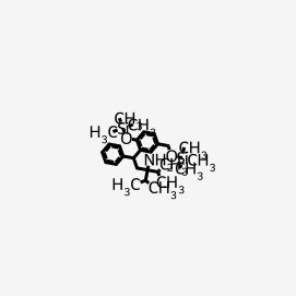 CC(C)C(N)(CC(c1ccccc1)c1cc(CO[Si](C)(C)C)ccc1O[Si](C)(C)C)C(C)C